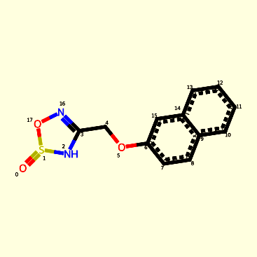 O=S1NC(COc2ccc3ccccc3c2)=NO1